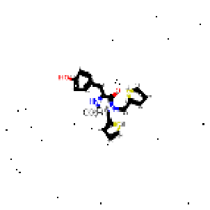 O=C(O)NC(Cc1ccc(O)cc1)C(=O)N(Cc1cccs1)Cc1cccs1